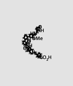 COc1cc(-c2nccc(-c3cccc(NC(=O)c4nc5c(n4C)CCN(CCC46CCC(C(=O)O)(CC4)C6)C5)c3Cl)c2Cl)ccc1CNC[C@@H]1CCC(=O)N1